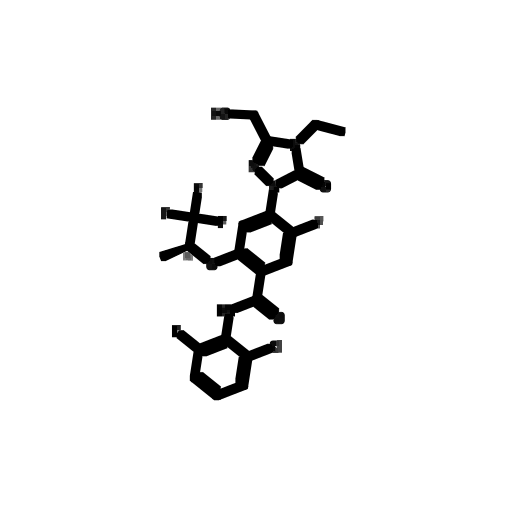 CCn1c(CO)nn(-c2cc(O[C@@H](C)C(F)(F)F)c(C(=O)Nc3c(F)cccc3Cl)cc2F)c1=O